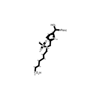 CCCCCC(O)c1ccc(CN(CCCCCCC(=O)O)S(C)(=O)=O)s1